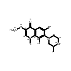 CC1CN(c2c(F)cc3c(=O)c(OC(=O)O)cn(C)c3c2F)CCN1